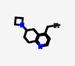 CC(C)Cc1ccnc2c1CC(N1CCC1)CC2